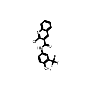 Cc1ccc(NC(=O)c2cc3ccccc3nc2Cl)cc1C(F)(F)F